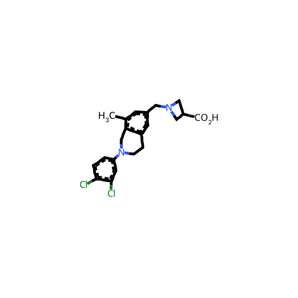 Cc1cc(CN2CC(C(=O)O)C2)cc2c1CN(c1ccc(Cl)c(Cl)c1)CC2